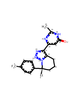 CC[C@]1(c2ccc(C(F)(F)F)cc2)CCCc2c(-c3cc(=O)[nH]c(C)n3)nnn21